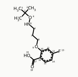 CC(C)(C)ONCCCOc1cc(F)ccc1C(=O)O